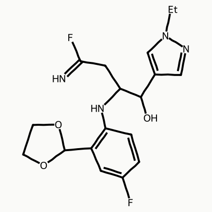 CCn1cc(C(O)C(CC(=N)F)Nc2ccc(F)cc2C2OCCO2)cn1